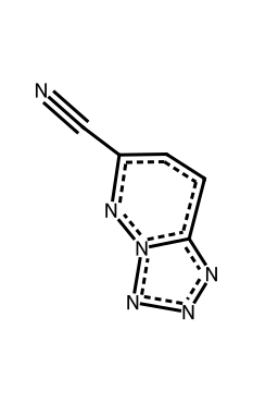 N#Cc1ccc2nnnn2n1